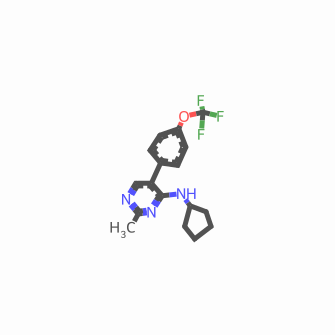 Cc1ncc(-c2ccc(OC(F)(F)F)cc2)c(NC2CCCC2)n1